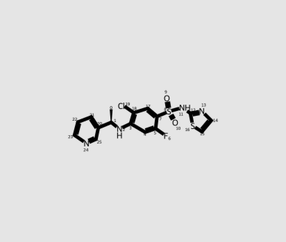 C[C@@H](Nc1cc(F)c(S(=O)(=O)Nc2nccs2)cc1Cl)c1cccnc1